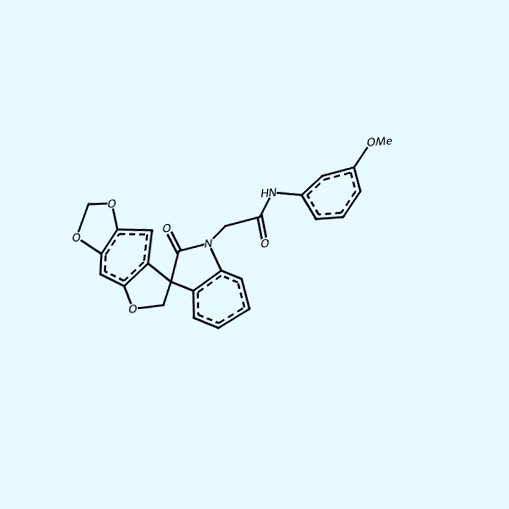 COc1cccc(NC(=O)CN2C(=O)C3(COc4cc5c(cc43)OCO5)c3ccccc32)c1